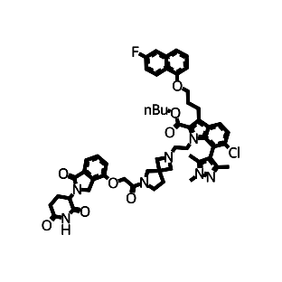 CCCCOC(=O)c1c(CCCOc2cccc3cc(F)ccc23)c2ccc(Cl)c(-c3c(C)nn(C)c3C)c2n1CCN1CC2(CCN(C(=O)COc3cccc4c3CN(C3CCC(=O)NC3=O)C4=O)C2)C1